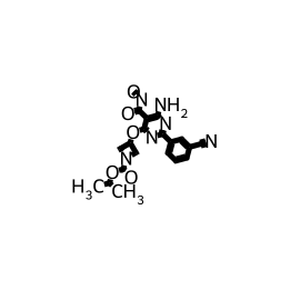 CC(C)OC(=O)N1CC(Oc2nc(-c3cccc(C#N)c3)nc(N)c2C(=O)N=O)C1